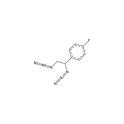 [N-]=[N+]=NCC(N=[N+]=[N-])c1ccc(F)cc1